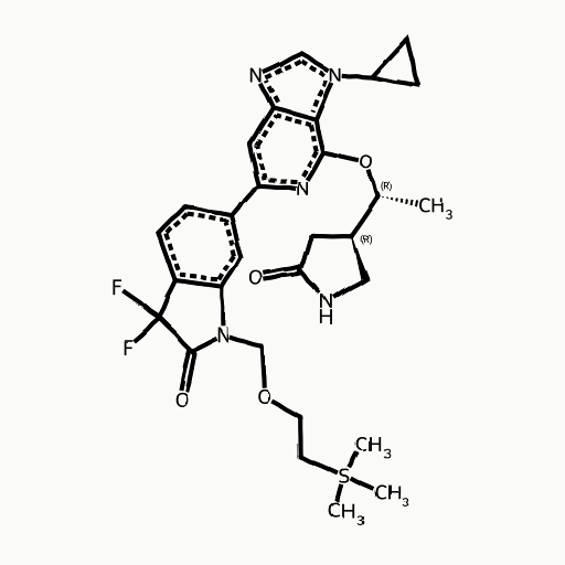 C[C@@H](Oc1nc(-c2ccc3c(c2)N(COCCS(C)(C)C)C(=O)C3(F)F)cc2ncn(C3CC3)c12)[C@H]1CNC(=O)C1